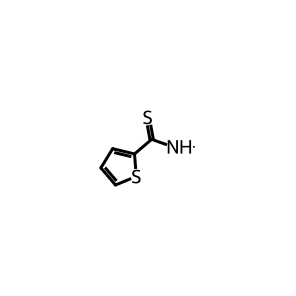 [NH]C(=S)c1cccs1